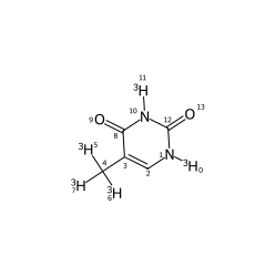 [3H]n1cc(C([3H])([3H])[3H])c(=O)n([3H])c1=O